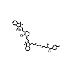 CCCC[N+]1=C(/C=C/C2=C(Cl)C(=C/C=C3/N(CCOCCOCCNC(=O)c4ccc(F)cc4)c4ccccc4C3(C)C)/CCC2)C(C)(C)c2ccccc21